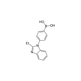 CCc1nc2ccccc2n1-c1ccc(B(O)O)cc1